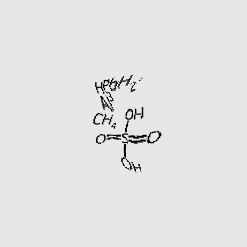 C.O=S(=O)(O)O.[AlH3].[PbH2]